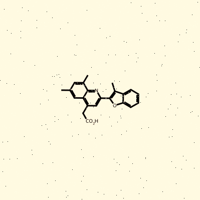 Cc1cc(C)c2nc(-c3oc4ccccc4c3C)cc(CC(=O)O)c2c1